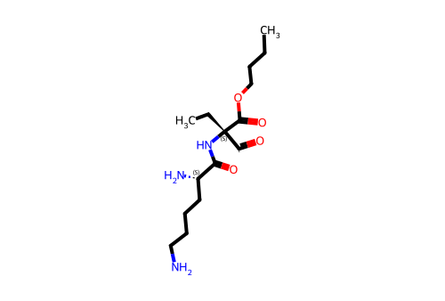 CCCCOC(=O)[C@@]([C]=O)(CC)NC(=O)[C@@H](N)CCCCN